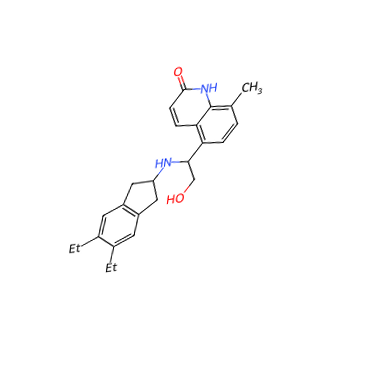 CCc1cc2c(cc1CC)CC(NC(CO)c1ccc(C)c3[nH]c(=O)ccc13)C2